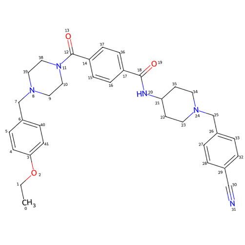 CCOc1ccc(CN2CCN(C(=O)c3ccc(C(=O)NC4CCN(Cc5ccc(C#N)cc5)CC4)cc3)CC2)cc1